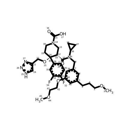 COCCCc1cc(CN(C(=O)[C@H]2CN(C(=O)O)CC[C@]2(OCc2c[nH]nn2)c2ccc(F)c(F)c2)C2CC2)cc(OCCOC)c1